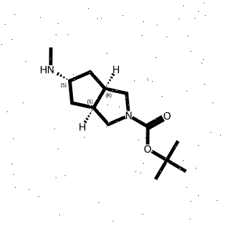 CN[C@H]1C[C@@H]2CN(C(=O)OC(C)(C)C)C[C@@H]2C1